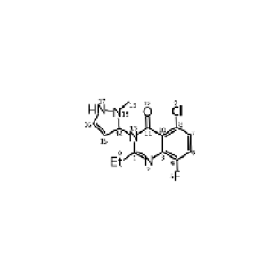 CCc1nc2c(F)ccc(Cl)c2c(=O)n1C1C=CNN1C